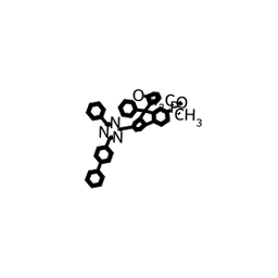 CP(C)(=O)c1ccc2c(c1)C1(c3ccccc3Oc3ccccc31)c1cc(-c3nc(-c4ccccc4)nc(-c4ccc(-c5ccccc5)cc4)n3)ccc1-2